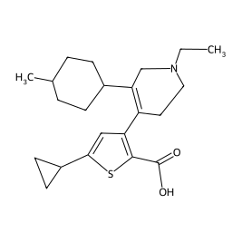 CCN1CCC(c2cc(C3CC3)sc2C(=O)O)=C(C2CCC(C)CC2)C1